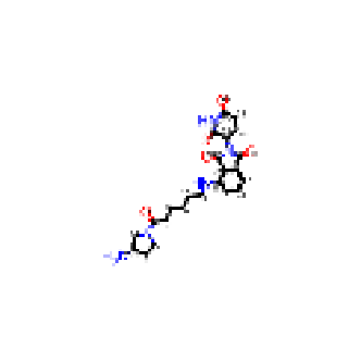 N[C@@H]1CCN(C(=O)CCCCCNc2cccc3c2C(=O)N(C2CCC(=O)NC2=O)C3=O)C1